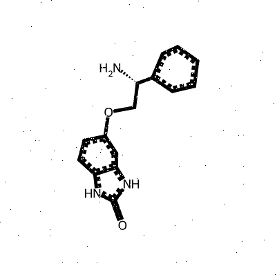 N[C@@H](COc1ccc2[nH]c(=O)[nH]c2c1)c1ccccc1